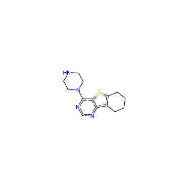 c1nc(N2CCNCC2)c2sc3c(c2n1)CCCC3